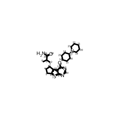 CC(C[C@H]1CCc2sc3ncnc(O[C@H]4CC[C@H](N5CCCCC5)CC4)c3c21)C(N)=O